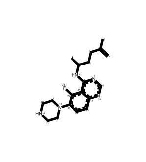 C=C(C)CCC(C)Nc1ncnc2ccc(N3CCNCC3)c(F)c12